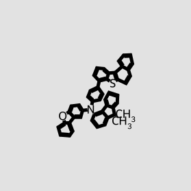 CC1(C)c2ccccc2-c2c(N(c3ccc(-c4cccc5c4sc4ccc6ccccc6c45)cc3)c3ccc4oc5ccccc5c4c3)cccc21